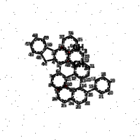 Cc1cc2c(c(-c3ccccc3-c3c(-c4c(-c5ccccc5)ccc5ccccc45)ccc4cc5ccccc5cc34)c1C)Cc1ccccc1-2